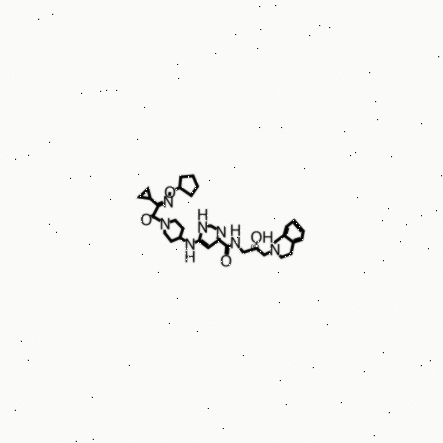 O=C(NC[C@H](O)CN1CCc2ccccc2C1)C1=NCNC(NC2CCN(C(=O)C(=NOC3CCCC3)C3CC3)CC2)=C1